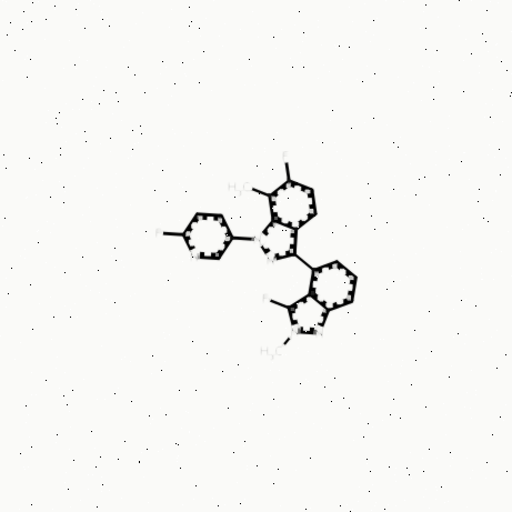 Cc1c(F)ccc2c(-c3cccc4nn(C)c(F)c34)nn(-c3ccc(F)nc3)c12